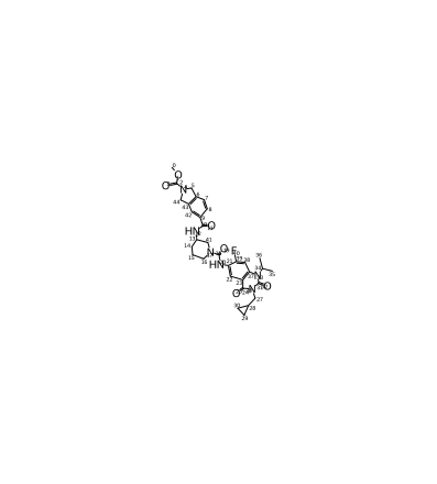 COC(=O)N1Cc2ccc(C(=O)N[C@@H]3CCCN(C(=O)Nc4cc5c(=O)n(CC6CC6)c(=O)n(C(C)C)c5cc4F)C3)cc2C1